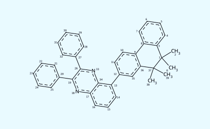 CC1(C)c2ccccc2-c2ccc(-c3cccc4nc(-c5ccccc5)c(-c5ccccc5)nc34)cc2C1(C)C